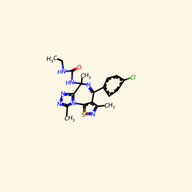 CCNC(=O)NC1(C)N=C(c2ccc(Cl)cc2)c2c(C)nsc2-n2c(C)nnc21